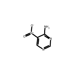 Nc1n[c]ncc1[N+](=O)[O-]